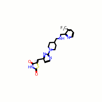 O=C1NC(=O)/C(=C/c2ccnc(N3CCC(CNCc4ncccc4C(F)(F)F)CC3)n2)S1